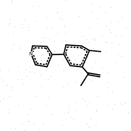 C=C(C)c1cc(-c2ccncc2)ccc1C